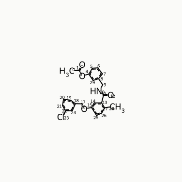 CC(=O)Oc1cccc(CNC(=O)c2cc(OCc3cccc(Cl)c3)ccc2C)c1